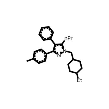 CCCc1c(-c2ccccc2)c(-c2ccc(C)cc2)nn1CC1CCC(CC)CC1